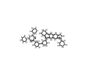 c1ccc(-c2cc(-c3ccccc3)nc(-c3cccc(-c4cccc(-n5c6ccccc6c6cc7cc8ccn(-c9ccccc9)c8cc7cc65)c4)c3)n2)cc1